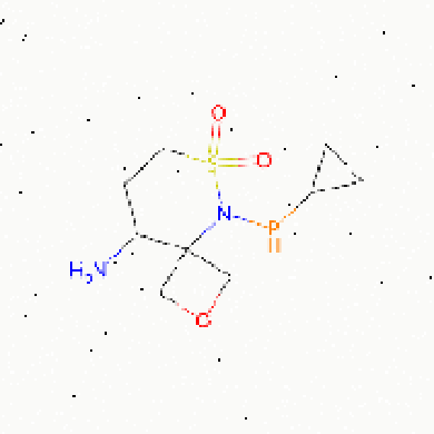 NC1CCS(=O)(=O)N(PC2CC2)C12COC2